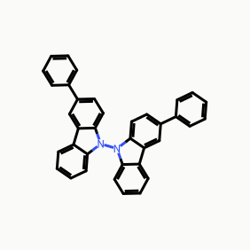 c1ccc(-c2ccc3c(c2)c2ccccc2n3-n2c3ccccc3c3cc(-c4ccccc4)ccc32)cc1